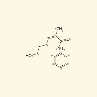 CC(=CCCCO)C(N)=O.c1ccccc1